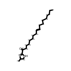 CCCCCCCCC=CCCCCCCCC(=O)C1=NC(C)CN1